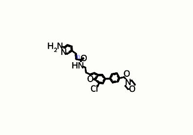 Nc1ccc(/C=C/C(=O)NCCc2cc3cc(-c4ccc(C(=O)N5CCOCC5)cc4)cc(Cl)c3o2)cn1